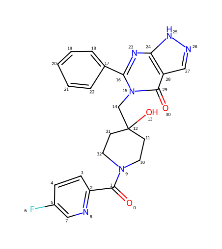 O=C(c1ccc(F)cn1)N1CCC(O)(Cn2c(-c3ccccc3)nc3[nH]ncc3c2=O)CC1